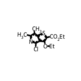 CCOC(=O)c1sc2c(C)c(C)nc(Cl)c2c1OCC